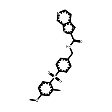 COc1ccc(S(=O)(=O)c2ccc(CNC(=O)c3cc4ccncc4o3)cc2)c(C)c1